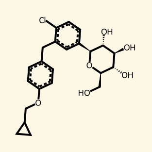 OC[C@H]1O[C@@H](c2ccc(Cl)c(Cc3ccc(OCC4CC4)cc3)c2)[C@H](O)[C@@H](O)[C@@H]1O